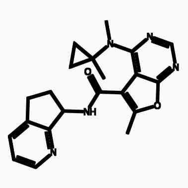 Cc1oc2ncnc(N(C)C3(C)CC3)c2c1C(=O)NC1CCc2cccnc21